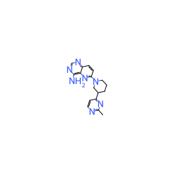 Cc1nccc(C2CCCN(c3ccc4ncnc(N)c4n3)C2)n1